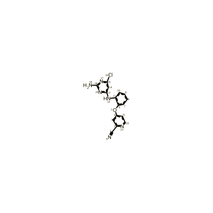 N#Cc1cc(Oc2ccccc2Nc2cc(Cl)nc(N)n2)ccn1